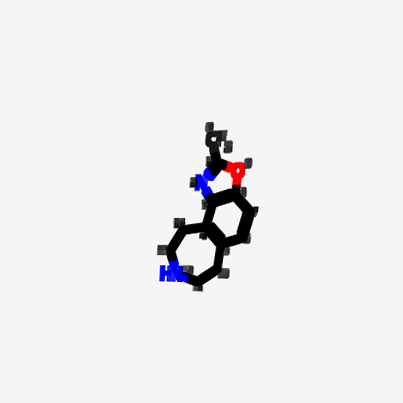 FC(F)(F)c1nc2c3c(ccc2o1)CCNCC3